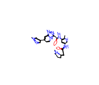 Cc1ncc(NC(=O)CC2CCCN2C)cc1NC(=O)c1nnc2cc(-c3cnn(C)c3)ccn12